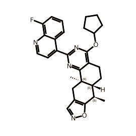 C[C@H]1c2oncc2C[C@@]2(C)c3nc(-c4ccnc5c(F)cccc45)nc(OC4CCCC4)c3CC[C@H]12